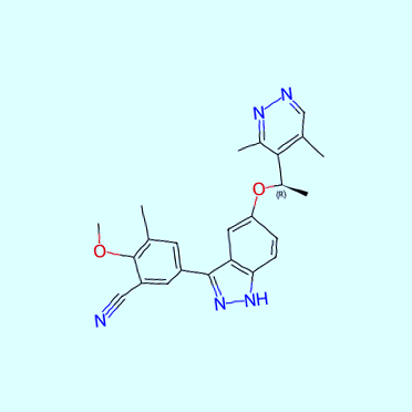 COc1c(C)cc(-c2n[nH]c3ccc(O[C@H](C)c4c(C)cnnc4C)cc23)cc1C#N